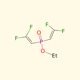 CCOP(=O)(C=C(F)F)C=C(F)F